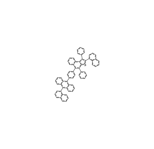 c1ccc(-c2c(-c3ccc(-c4c5ccccc5c(-c5cccc6ccccc56)c5ccccc45)cc3)c3ccccc3c3c(-c4ccccc4)c(-c4cccc5ccccc45)sc23)cc1